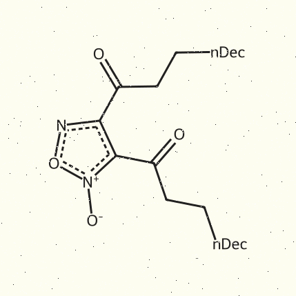 CCCCCCCCCCCCC(=O)c1no[n+]([O-])c1C(=O)CCCCCCCCCCCC